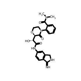 CN(C)C(=O)c1ccccc1N1CCO[C@H]([C@@H](O)C(=O)Nc2ccc3c(c2)CNC3=N)C1=O